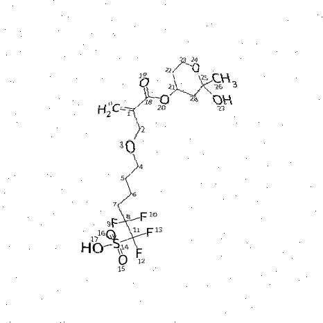 C=C(COCCCCC(F)(F)C(F)(F)S(=O)(=O)O)C(=O)OC1CCOC(C)(O)C1